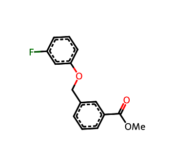 COC(=O)c1cccc(COc2cccc(F)c2)c1